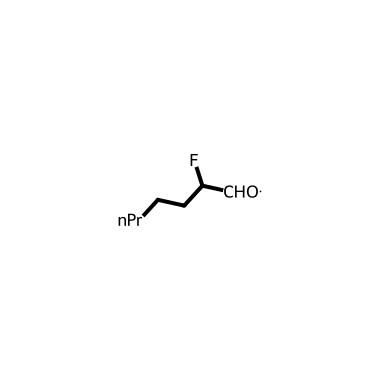 CCCCCC(F)[C]=O